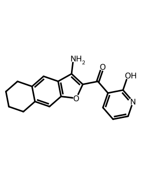 Nc1c(C(=O)c2cccnc2O)oc2cc3c(cc12)CCCC3